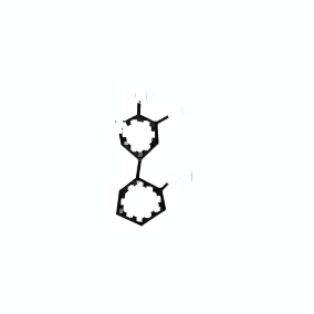 Cc1cc(-c2ccccc2O)cnc1C